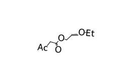 CCO/C=C/COC(=O)CC(C)=O